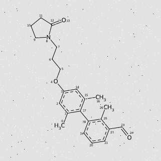 Cc1cc(OCCCN2CCCC2=O)cc(C)c1-c1cccc(C=O)c1C